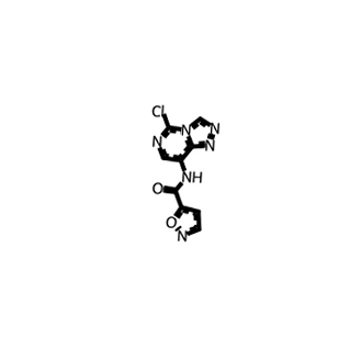 O=C(Nc1cnc(Cl)n2cnnc12)c1ccno1